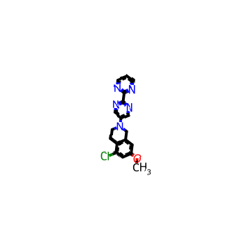 COc1cc(Cl)c2c(c1)CN(c1cnc(-c3ncccn3)nc1)CC2